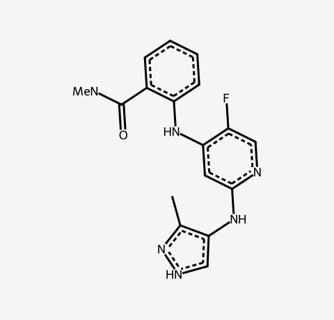 CNC(=O)c1ccccc1Nc1cc(Nc2c[nH]nc2C)ncc1F